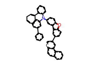 C1=CCC=C(c2ccccc2N(c2cccc(-c3ccccc3)c2)c2ccc3oc4ccc(-c5ccc6ccc7ccccc7c6c5)cc4c3c2)C=C1